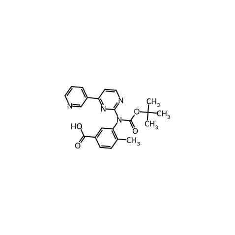 Cc1ccc(C(=O)O)cc1N(C(=O)OC(C)(C)C)c1nccc(-c2cccnc2)n1